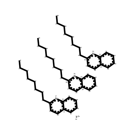 CCCCCCCCc1ccc2ccccc2n1.CCCCCCCCc1ccc2ccccc2n1.CCCCCCCCc1ccc2ccccc2n1.[Ir+3]